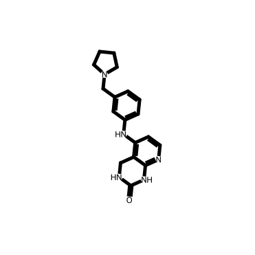 O=C1NCc2c(Nc3cccc(CN4CCCC4)c3)ccnc2N1